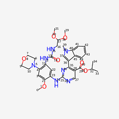 COc1cc(N2CCOCC2)c(NC(=O)NCC(OC)OC)cc1Nc1ncc(C(=O)OC(C)C)c(-c2cn(C)c3ccccc23)n1